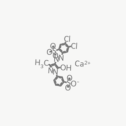 Cc1nn(-c2cccc(S(=O)(=O)[O-])c2)c(O)c1N=Nc1cc(Cl)c(Cl)cc1S(=O)(=O)[O-].[Ca+2]